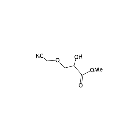 COC(=O)C(O)COCC#N